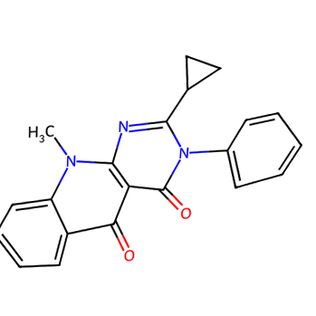 Cn1c2ccccc2c(=O)c2c(=O)n(-c3ccccc3)c(C3CC3)nc21